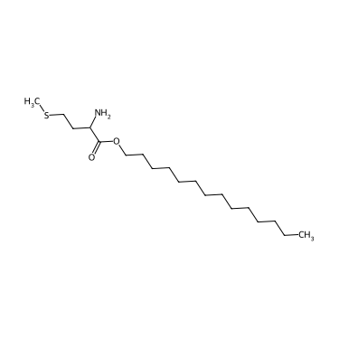 CCCCCCCCCCCCCCOC(=O)C(N)CCSC